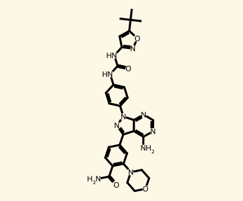 CC(C)(C)c1cc(NC(=O)Nc2ccc(-n3nc(-c4ccc(C(N)=O)c(N5CCOCC5)c4)c4c(N)ncnc43)cc2)no1